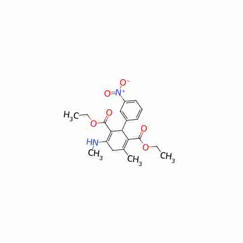 CCOC(=O)C1=C(C)CC(NC)=C(C(=O)OCC)C1c1cccc([N+](=O)[O-])c1